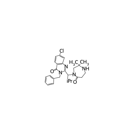 CC(C)C(c1nc2cc(Cl)ccc2c(=O)n1Cc1ccccc1)N1CC(C)(C)NCCC1=O